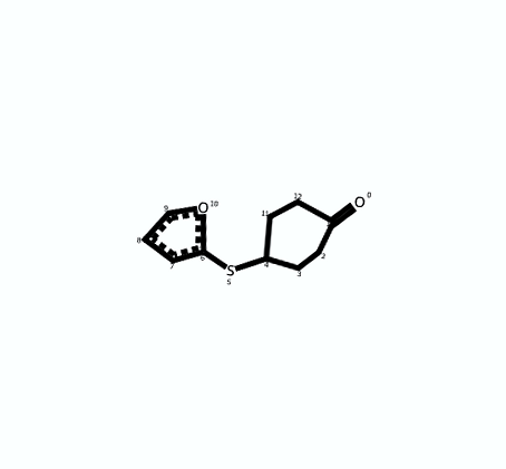 O=C1CCC(Sc2ccco2)CC1